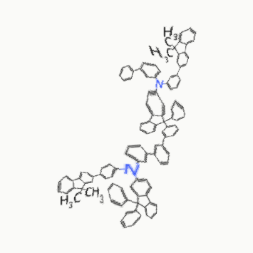 CC1(C)c2ccccc2-c2ccc(-c3ccc(N(c4cccc(-c5cccc(-c6cccc(C7(c8ccccc8)c8ccccc8-c8ccc(N(c9cccc(-c%10ccccc%10)c9)c9cccc(-c%10ccc%11c(c%10)C(C)(C)c%10ccccc%10-%11)c9)cc87)c6)c5)c4)c4ccc5c(c4)C(c4ccccc4)(c4ccccc4)c4ccccc4-5)cc3)cc21